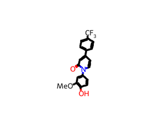 COc1cc(-n2ccc(-c3ccc(C(F)(F)F)cc3)cc2=O)ccc1O